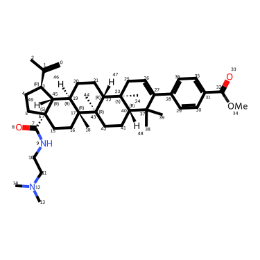 C=C(C)[C@@H]1CC[C@]2(C(=O)NCCN(C)C)CC[C@]3(C)[C@H](CC[C@@H]4[C@@]5(C)CC=C(c6ccc(C(=O)OC)cc6)C(C)(C)[C@@H]5CC[C@]43C)[C@@H]12